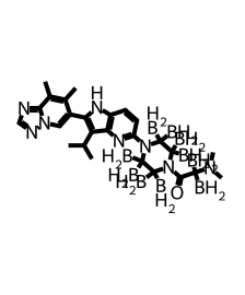 BC(B)(C(=O)N1C(B)(B)C(B)(B)N(c2ccc3[nH]c(-c4cn5ncnc5c(C)c4C)c(C(C)C)c3n2)C(B)(B)C1(B)B)N(C)C